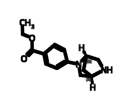 CCOC(=O)c1ccc(N2C[C@@H]3C[C@H]2CN3)cc1